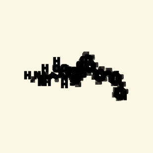 N=C(N)NCCC[C@H](NC(=O)c1sccc1NS(=O)(=O)c1cc(-c2cccc(CN3CCN(Cc4cccnc4)CC3)c2)cc2c1OCC2)C(=O)O